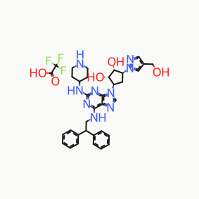 O=C(O)C(F)(F)F.OCc1cnn([C@H]2C[C@@H](n3cnc4c(NCC(c5ccccc5)c5ccccc5)nc(NC5CCNCC5)nc43)[C@H](O)[C@@H]2O)c1